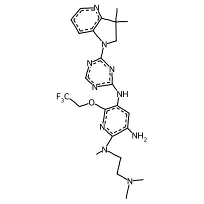 CN(C)CCN(C)c1nc(OCC(F)(F)F)c(Nc2ncnc(N3CC(C)(C)c4ncccc43)n2)cc1N